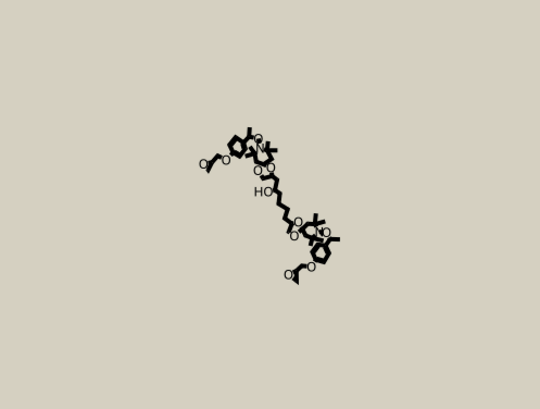 CC(ON1C(C)(C)CC2(CC1(C)C)OCC(CCCCC(O)CC1COC3(CC(C)(C)N(OC(C)c4ccc(OCC5CO5)cc4)C(C)(C)C3)O1)O2)c1ccc(OCC2CO2)cc1